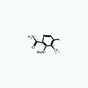 CNc1c(C(N)=O)ccc(C)c1C(F)(F)F